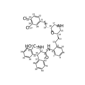 O=C(O)NC(C(=O)Nc1ccccc1CC[C@@H]1CNC[C@@H](CSc2ccc(Cl)c(Cl)c2)O1)C(c1ccccc1)c1ccccc1